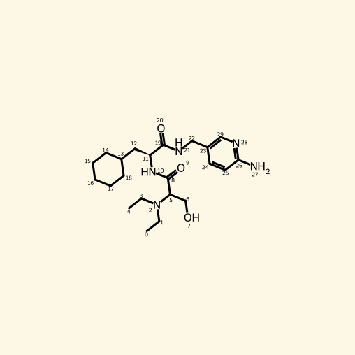 CCN(CC)C(CO)C(=O)N[C@@H](CC1CCCCC1)C(=O)NCc1ccc(N)nc1